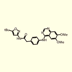 COc1cc2ncnc(Nc3ccc(CC(=O)Nc4cc(C(C)(C)C)on4)cc3)c2cc1OC